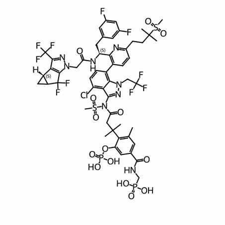 Cc1cc(C(=O)NCP(=O)(O)O)cc(OP(=O)(O)O)c1C(C)(C)CC(=O)N(c1nn(CC(F)(F)F)c2c(-c3ccc(CCC(C)(C)S(C)(=O)=O)nc3[C@H](Cc3cc(F)cc(F)c3)NC(=O)Cn3nc(C(F)(F)F)c4c3C(F)(F)C3C[C@H]43)ccc(Cl)c12)S(C)(=O)=O